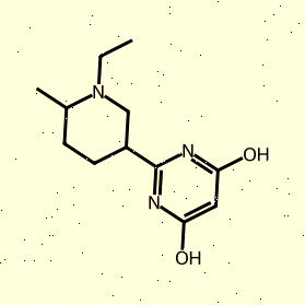 CCN1CC(c2nc(O)cc(O)n2)CCC1C